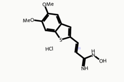 COc1cc2cc(/C=C/C(=N)NO)sc2cc1OC.Cl